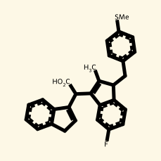 CSc1ccc(CC2C(C)=C(C(C(=O)O)C3=CCc4ccccc43)c3cc(F)ccc32)cc1